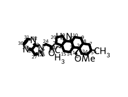 COC[C@]12CC[C@H](C)CC1CC[C@]1(N)C2CC[C@@]2(C)C1CC[C@@H]2C(=O)Cn1ncc2nccnc21